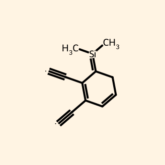 [C]#CC1=C(C#[C])C(=[Si](C)C)CC=C1